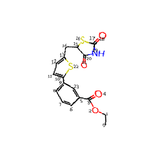 CCOC(=O)c1cccc(-c2ccc(CC3SC(=O)NC3=O)s2)c1